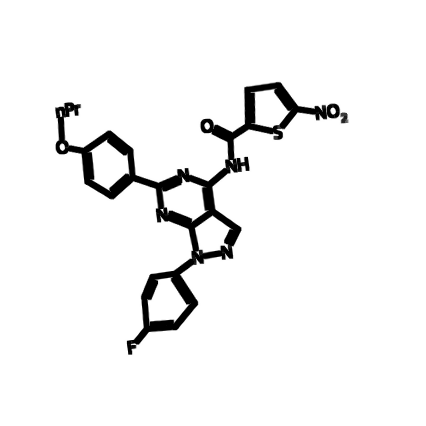 CCCOc1ccc(-c2nc(NC(=O)c3ccc([N+](=O)[O-])s3)c3cnn(-c4ccc(F)cc4)c3n2)cc1